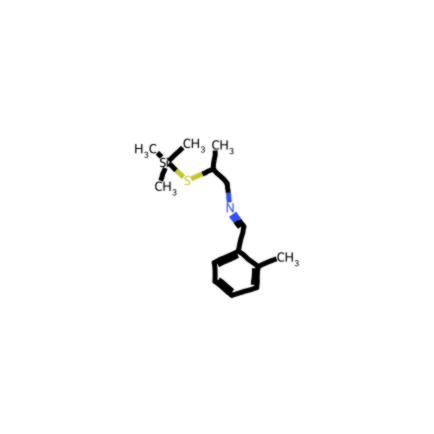 Cc1ccccc1C=NCC(C)S[Si](C)(C)C